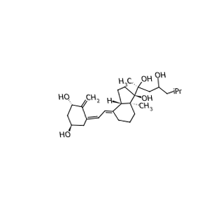 C=C1/C(=C\C=C2/CCC[C@@]3(C)[C@H]2CC[C@]3(O)[C@@](C)(O)CC(O)CC(C)C)C[C@@H](O)C[C@@H]1O